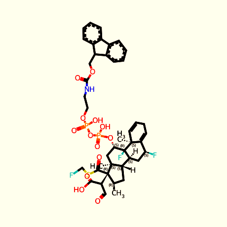 C[C@@H]1C[C@H]2[C@@H]3C[C@H](F)C4=CCC=C[C@]4(C)[C@@]3(F)[C@@H](OP(=O)(O)OP(=O)(O)OCCNC(=O)OCC3c4ccccc4-c4ccccc43)C[C@]2(C)[C@]1(C(=O)SCF)C(C=O)C(=O)O